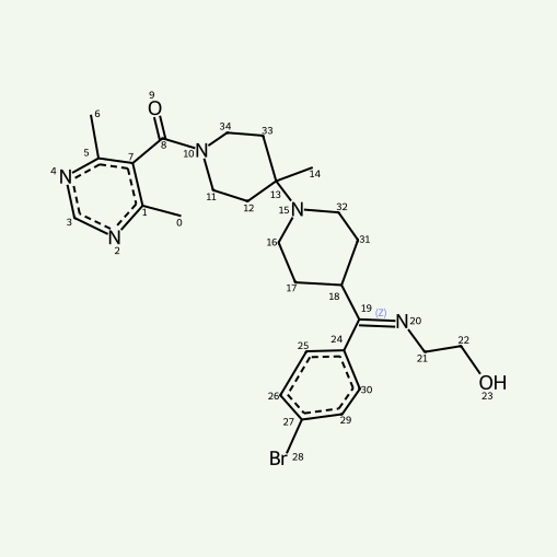 Cc1ncnc(C)c1C(=O)N1CCC(C)(N2CCC(/C(=N/CCO)c3ccc(Br)cc3)CC2)CC1